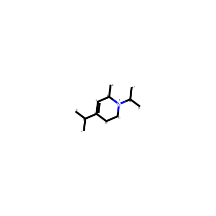 CC(C)C1=CC(C)N(C(C)C)CC1